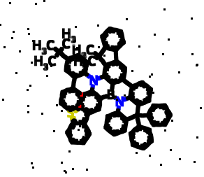 CC(C)(C)c1ccc(N2c3cc4sc5ccccc5c4cc3B3c4c(cc5c(c42)C(C)(C)c2ccccc2-5)-c2cccc4c2N3c2ccccc2C4(c2ccccc2)c2ccccc2)c(-c2ccccc2)c1